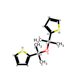 C[Si](C)(O[Si](C)(C)c1cccs1)c1cccs1